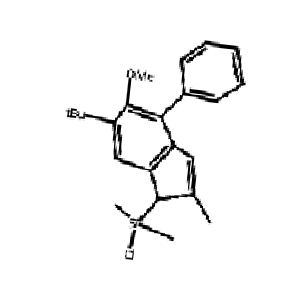 COc1c(C(C)(C)C)cc2c(c1-c1ccccc1)C=C(C)C2[Si](C)(C)Cl